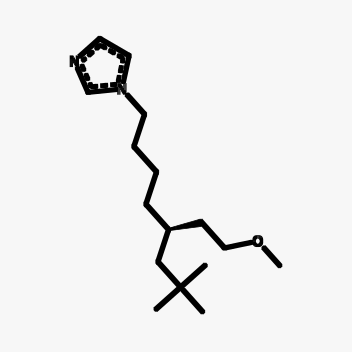 COCC[C@H](CCCCn1ccnc1)CC(C)(C)C